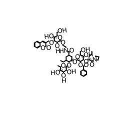 CCC[C@H](OC1C(OC(=O)c2ccccc2)[C@H](O[C@@H]2CC(C(=O)NCCO[C@H]3OC(CO)[C@@H](O)C(OCc4cc5ccccc5oc4=O)C3O)CC(CC)C2O[C@@H]2OC(C)[C@@H](O)C(O)C2O)OC(CO)[C@@H]1O)C(=O)N1CCC1